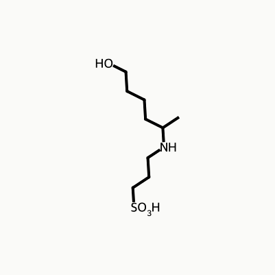 CC(CCCCO)NCCCS(=O)(=O)O